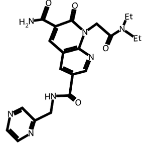 CCN(CC)C(=O)Cn1c(=O)c(C(N)=O)cc2cc(C(=O)NCc3cnccn3)cnc21